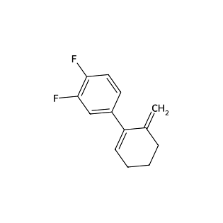 C=C1CCCC=C1c1ccc(F)c(F)c1